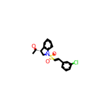 CC(=O)[C@H]1CN(S(=O)(=O)/C=C/c2cccc(Cl)c2)c2ccccc21